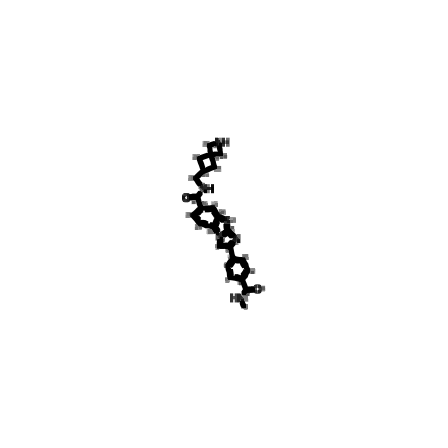 CNC(=O)c1ccc(-c2cn3c(n2)sc2cc(C(=O)NCC4CC5(CNC5)C4)ccc23)cc1